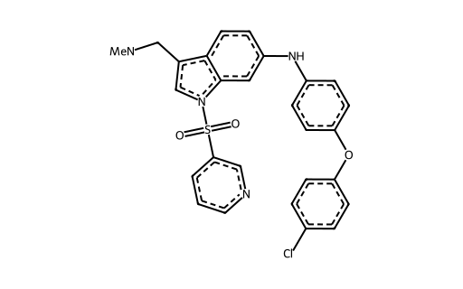 CNCc1cn(S(=O)(=O)c2cccnc2)c2cc(Nc3ccc(Oc4ccc(Cl)cc4)cc3)ccc12